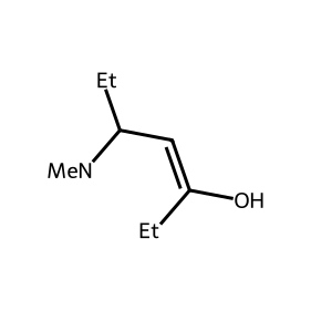 CC/C(O)=C\C(CC)NC